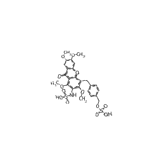 COc1cc2oc3c(Cc4ccc(COS(=O)(=O)O)cc4)c(OC)c(NS(=O)(=O)O)c(OC)c3c(=O)c2cc1OC